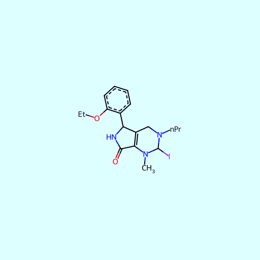 CCCN1CC2=C(C(=O)NC2c2ccccc2OCC)N(C)C1I